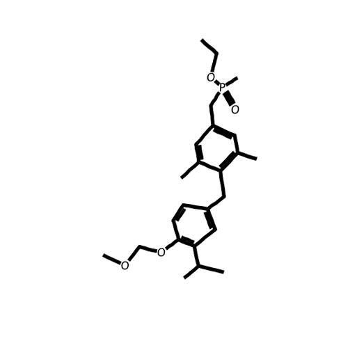 CCOP(C)(=O)Cc1cc(C)c(Cc2ccc(OCOC)c(C(C)C)c2)c(C)c1